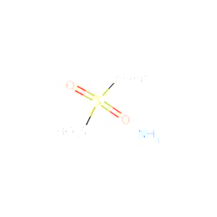 CCCCCS(=O)(=O)S(=O)(=O)O.N